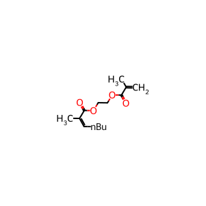 C=C(C)C(=O)OCCOC(=O)C(C)=CCCCC